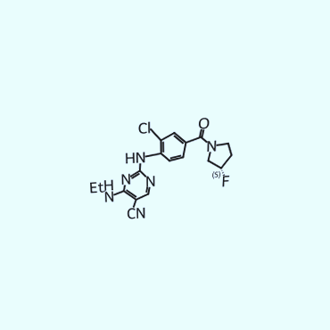 CCNc1nc(Nc2ccc(C(=O)N3CC[C@H](F)C3)cc2Cl)ncc1C#N